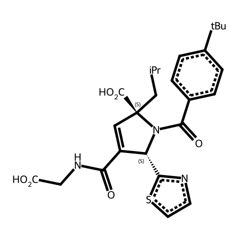 CC(C)C[C@@]1(C(=O)O)C=C(C(=O)NCC(=O)O)[C@@H](c2nccs2)N1C(=O)c1ccc(C(C)(C)C)cc1